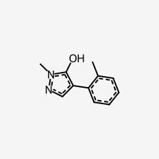 Cc1ccccc1-c1cnn(C)c1O